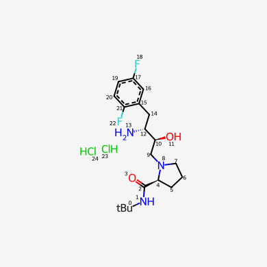 CC(C)(C)NC(=O)[C@@H]1CCCN1C[C@H](O)[C@H](N)Cc1cc(F)ccc1F.Cl.Cl